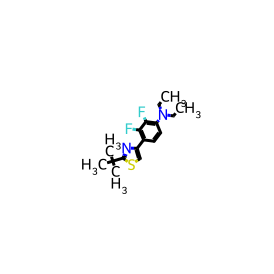 CCN(CC)c1ccc(-c2csc(C(C)(C)C)n2)c(F)c1F